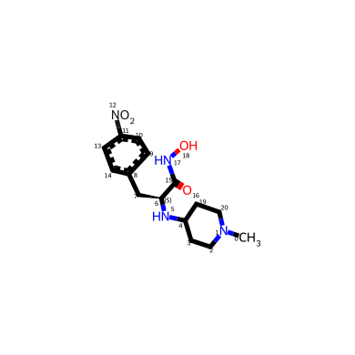 CN1CCC(N[C@@H](Cc2ccc([N+](=O)[O-])cc2)C(=O)NO)CC1